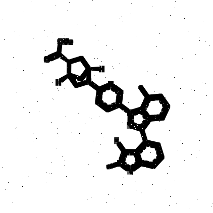 COC(=O)[C@H]1C[C@H]2C[C@@H]1CN2c1ccc(-n2nc(-c3cccc4nn(C)c(F)c34)c3cccc(C)c32)cn1